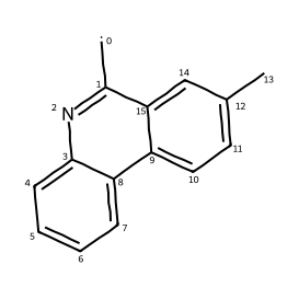 [CH2]c1nc2ccccc2c2ccc(C)cc12